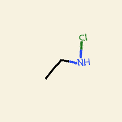 CCNCl